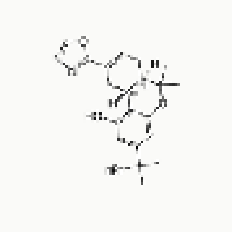 CCCC(C)(C)c1cc(O)c2c(c1)OC(C)(C)[C@@H]1CC=C(c3nnco3)C[C@@H]21